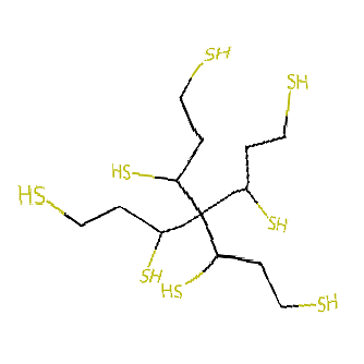 SCCC(S)C(C(S)CCS)(C(S)CCS)C(S)CCS